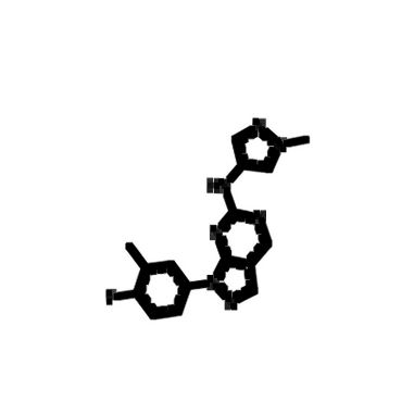 Cc1cc(-n2ncc3cnc(Nc4cnn(C)c4)nc32)ccc1F